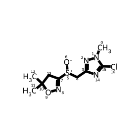 Cn1nc(C[S+]([O-])C2=NOC(C)(C)C2)nc1Cl